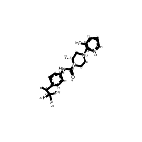 CC(c1ccc(NC(=O)N2CCN(c3ncccc3F)C[C@H]2C)cc1)C(F)(F)F